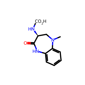 CN1C[C@H](NC(=O)O)C(=O)Nc2ccccc21